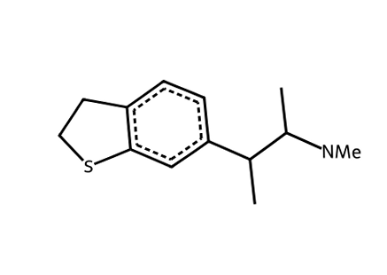 CNC(C)C(C)c1ccc2c(c1)SCC2